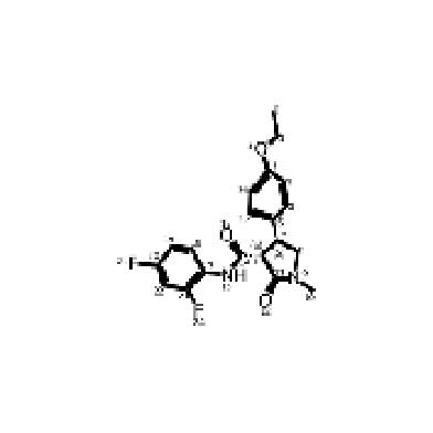 CCOc1ccc([C@H]2CN(C)C(=O)[C@@H]2C(=O)Nc2ccc(F)cc2F)cc1